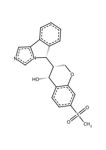 CS(=O)(=O)c1ccc2c(c1)OC[C@@H]([C@H]1c3ccccc3-c3cncn31)[C@H]2O